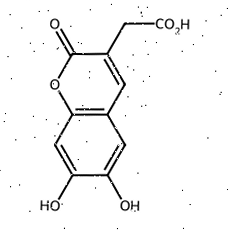 O=C(O)Cc1cc2cc(O)c(O)cc2oc1=O